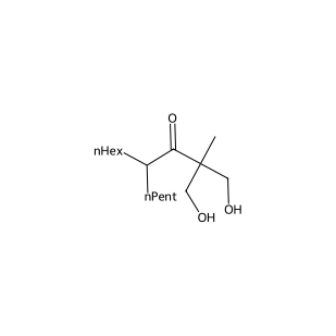 CCCCCCC(CCCCC)C(=O)C(C)(CO)CO